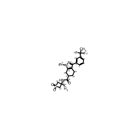 CC(C)n1nc(-c2cccc(C(C)(F)F)c2)c2c1CC(C(=O)NC1(C)CS(=O)(=O)C1)CC2